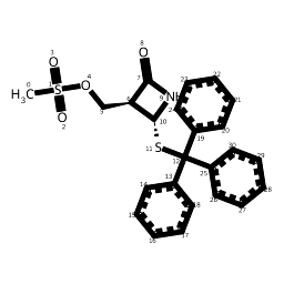 CS(=O)(=O)OC[C@H]1C(=O)N[C@@H]1SC(c1ccccc1)(c1ccccc1)c1ccccc1